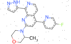 CC1COCCN1c1cc(-c2ccc(F)cn2)c2ccnc(-c3ccn[nH]3)c2n1